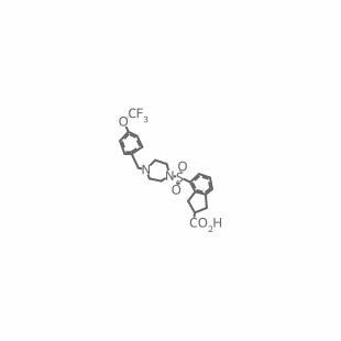 O=C(O)C1Cc2cccc(S(=O)(=O)N3CCN(Cc4ccc(OC(F)(F)F)cc4)CC3)c2C1